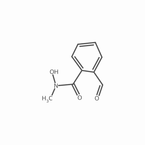 CN(O)C(=O)c1ccccc1C=O